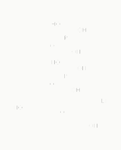 CCC(O)COCCO.O=P(O)(O)O.O=P(O)(O)O